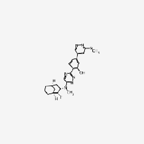 COc1cc(-c2ccc(-c3ncc(N(C)[C@H]4C[C@@H]5CCC[C@@H](C5)[C@H]4F)nn3)c(O)c2)cnn1